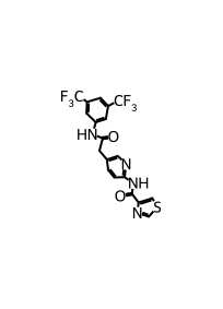 O=C(Cc1ccc(NC(=O)c2cscn2)nc1)Nc1cc(C(F)(F)F)cc(C(F)(F)F)c1